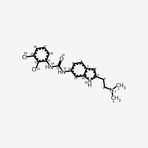 CN(C)CCc1cc2ccc(NC(=O)Nc3cccc(Cl)c3Cl)cc2[nH]1